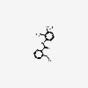 CCOc1ccccc1C(=O)Nc1cccc(C(=O)O)c1N